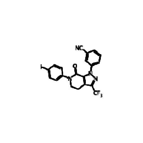 N#Cc1cccc(-n2nc(C(F)(F)F)c3c2C(=O)N(c2ccc(I)cc2)CC3)c1